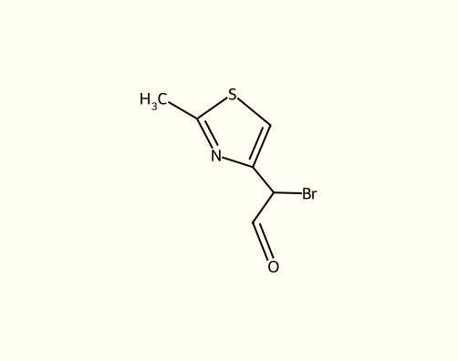 Cc1nc(C(Br)C=O)cs1